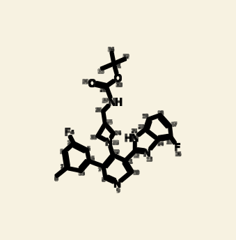 Cc1cc(F)cc(-c2cncc(-c3nc4c(F)cccc4[nH]3)c2N2CC(CNC(=O)OC(C)(C)C)C2)c1